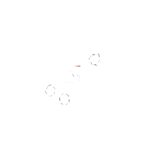 COc1ccc(F)c(C[C@H](NC(=O)OCC2c3ccccc3-c3ccccc32)C(=O)OC(C)(C)C)c1